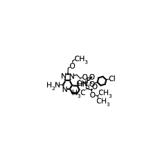 CCOCc1nc2c(N)nc3ccccc3c2n1C[C@@H](C)O[P@@](=O)(N[C@@H](C)C(=O)OC(C)C)Oc1ccc(Cl)cc1